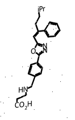 CC(C)CC/C(=C/c1nnc(-c2ccc(CNCCC(=O)O)cc2)o1)c1ccccc1